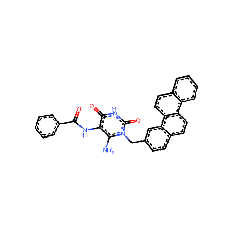 Nc1c(NC(=O)c2ccccc2)c(=O)[nH]c(=O)n1Cc1ccc2ccc3c4ccccc4ccc3c2c1